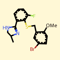 COc1ccc(Br)cc1CSc1c(F)cccc1C1=NC(C)CN1